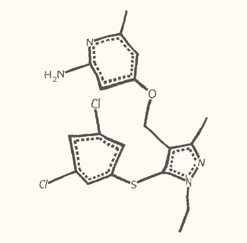 CCn1nc(C)c(COc2cc(C)nc(N)c2)c1Sc1cc(Cl)cc(Cl)c1